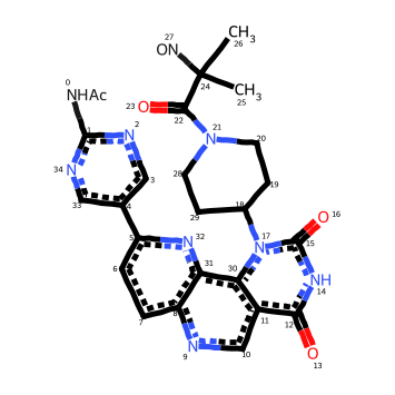 CC(=O)Nc1ncc(-c2ccc3ncc4c(=O)[nH]c(=O)n(C5CCN(C(=O)C(C)(C)N=O)CC5)c4c3n2)cn1